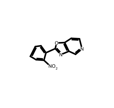 O=[N+]([O-])c1ccccc1-c1nc2cnccc2o1